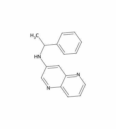 CC(Nc1cnc2cccnc2c1)c1ccccc1